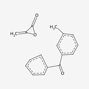 C=C1OC1=O.Cc1cccc(C(=O)c2ccccc2)c1